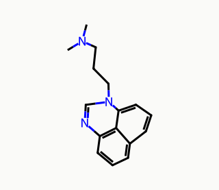 CN(C)CCCN1C=Nc2cccc3cccc1c23